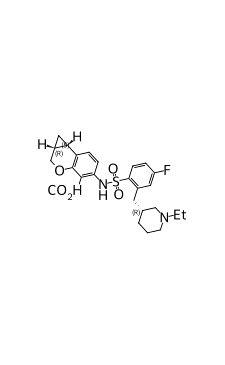 CCN1CCC[C@H](Cc2cc(F)ccc2S(=O)(=O)Nc2ccc3c(c2C(=O)O)OC[C@@H]2C[C@H]32)C1